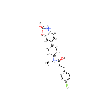 CN(C(=O)CCc1ccc(F)cc1)C1CCC(c2ccc3[nH]c(=O)oc3c2)CC1